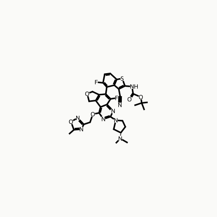 Cc1nc(COc2nc(N3CC[C@H](N(C)C)C3)nc3c(F)c(-c4c(F)ccc5sc(NC(=O)OC(C)(C)C)c(C#N)c45)c4c(c23)COC4)no1